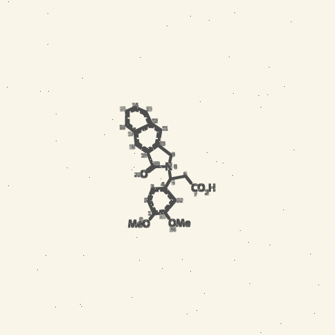 COc1ccc(C(CC(=O)O)N2Cc3cc4ccccc4cc3C2=O)cc1OC